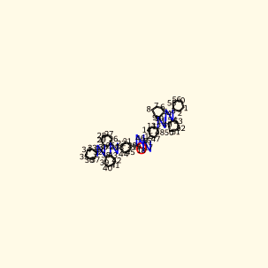 c1ccc(N2c3ccccc3N(c3ccc(-c4noc(-c5ccc(N6c7ccccc7N(c7ccccc7)c7ccccc76)cc5)n4)cc3)c3ccccc32)cc1